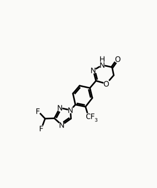 O=C1COC(c2ccc(-n3cnc(C(F)F)n3)c(C(F)(F)F)c2)=NN1